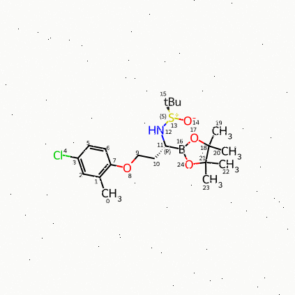 Cc1cc(Cl)ccc1OCC[C@H](N[S@+]([O-])C(C)(C)C)B1OC(C)(C)C(C)(C)O1